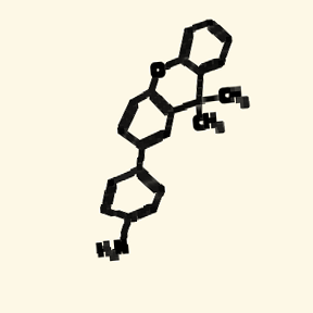 CC1(C)c2ccccc2Oc2ccc(-c3ccc(N)cc3)cc21